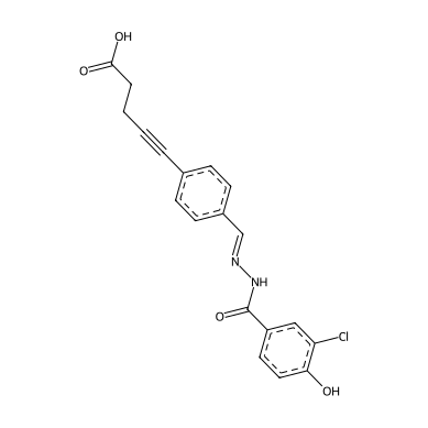 O=C(O)CCC#Cc1ccc(/C=N/NC(=O)c2ccc(O)c(Cl)c2)cc1